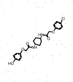 O=C(COc1ccc(O)cc1)N[C@H]1CC[C@H](NC(=O)COc2ccc(Cl)cc2)CC1